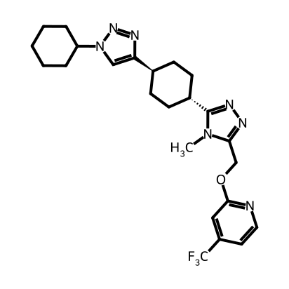 Cn1c(COc2cc(C(F)(F)F)ccn2)nnc1[C@H]1CC[C@H](c2cn(C3CCCCC3)nn2)CC1